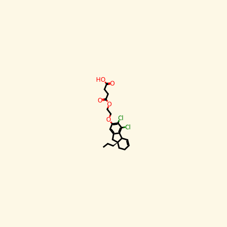 CCC[C@]12CCC=CC1c1c(cc(OCCOC(=O)CCC(=O)O)c(Cl)c1Cl)C2